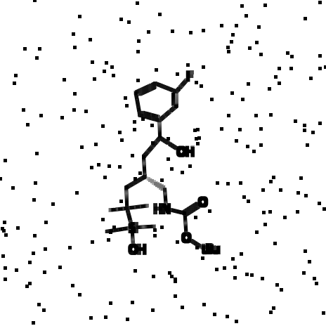 CC(C)(C)OC(=O)NC[C@@H](CC(O)c1cccc(F)c1)CC(C)(C)[Si](C)(C)O